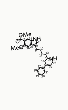 COC(=O)c1cc2[nH]cc(CCCCC3CC(c4ccccc4)=CCN3)c2cc1OC